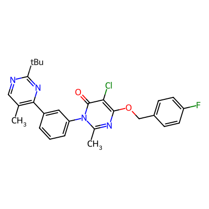 Cc1cnc(C(C)(C)C)nc1-c1cccc(-n2c(C)nc(OCc3ccc(F)cc3)c(Cl)c2=O)c1